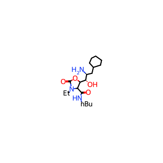 CCCCNC(=O)C1C([C@@H](O)[C@@H](N)CC2CCCCC2)OC(=O)N1CC